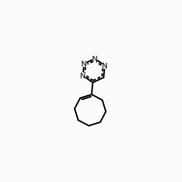 C1=C(/c2cnnnn2)CCCCCC/1